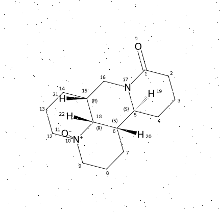 O=C1CCC[C@H]2[C@@H]3CCC[N+]4([O-])CCC[C@H](CN12)[C@H]34